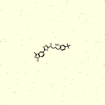 Cc1n[nH]c2ccc(-c3nnc(NC[C@H](N)Cc4ccc(C(C)(C)C)cc4)s3)cc12